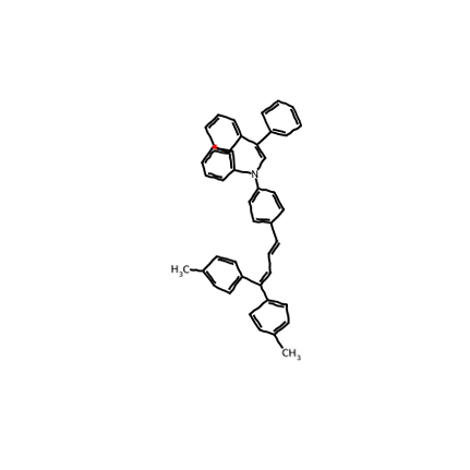 Cc1ccc(C(=C/C=C/c2ccc(N(/C=C(\C3=CC=CCC3)c3ccccc3)C3=C=C=CC=C3)cc2)c2ccc(C)cc2)cc1